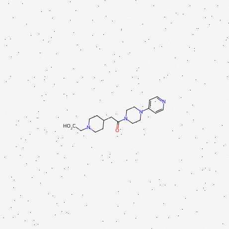 O=C(O)CN1CCC(CC(=O)N2CCN(c3ccncc3)CC2)CC1